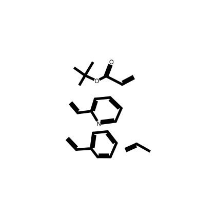 C=CC.C=CC(=O)OC(C)(C)C.C=Cc1ccccc1.C=Cc1ccccn1